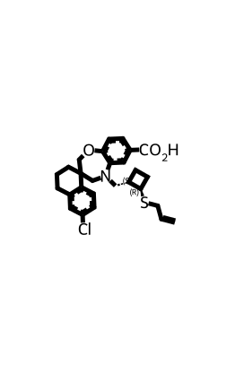 C=CCS[C@@H]1CC[C@H]1CN1CC2(CCCc3cc(Cl)ccc32)COc2ccc(C(=O)O)cc21